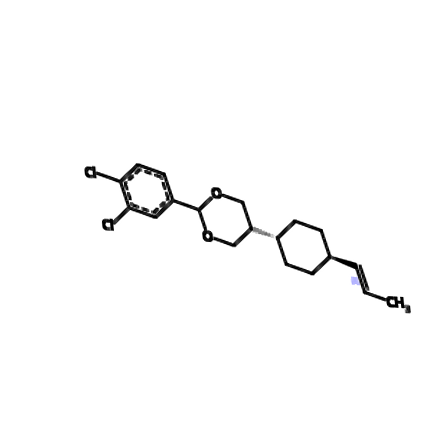 C/C=C/[C@H]1CC[C@H](C2COC(c3ccc(Cl)c(Cl)c3)OC2)CC1